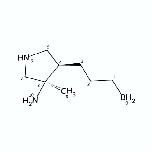 BCCC[C@@H]1CNC[C@]1(C)N